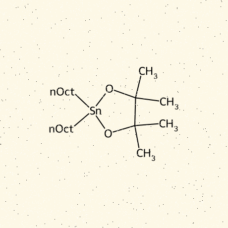 CCCCCCC[CH2][Sn]1([CH2]CCCCCCC)[O]C(C)(C)C(C)(C)[O]1